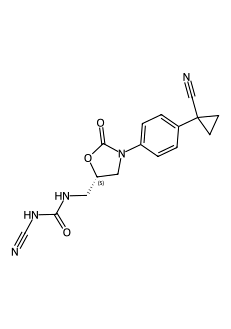 N#CNC(=O)NC[C@H]1CN(c2ccc(C3(C#N)CC3)cc2)C(=O)O1